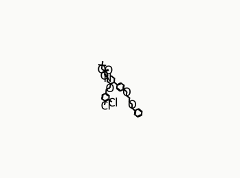 CC(C)(C)OC(=O)ON1CCC(c2ccc(OCCCOCc3ccccc3)cc2)C(OCc2ccc(Cl)c(Cl)c2)C1